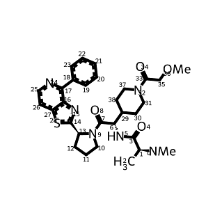 CN[C@@H](C)C(=O)N[C@H](C(=O)N1CCC[C@H]1c1nc2c(-c3ccccc3)nccc2s1)C1CCN(C(=O)COC)CC1